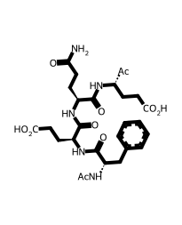 CC(=O)N[C@@H](Cc1ccccc1)C(=O)N[C@@H](CCC(=O)O)C(=O)N[C@@H](CCC(N)=O)C(=O)N[C@@H](CCC(=O)O)C(C)=O